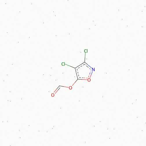 O=COc1onc(Cl)c1Cl